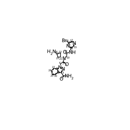 NC(=O)c1nn(CC(=O)N(CC(=O)Nc2cncc(Br)n2)[C@H]2C[C@H](N)C2)c2ccccc12